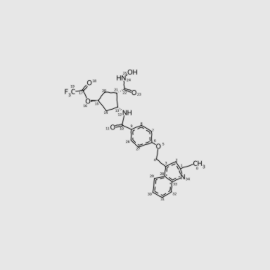 Cc1cc(COc2ccc(C(=O)N[C@@H]3C[C@@H](OC(=O)C(F)(F)F)C[C@@H]3C(=O)NO)cc2)c2ccccc2n1